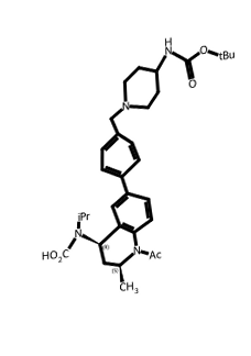 CC(=O)N1c2ccc(-c3ccc(CN4CCC(NC(=O)OC(C)(C)C)CC4)cc3)cc2[C@H](N(C(=O)O)C(C)C)C[C@@H]1C